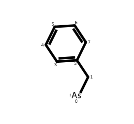 [As]Cc1ccccc1